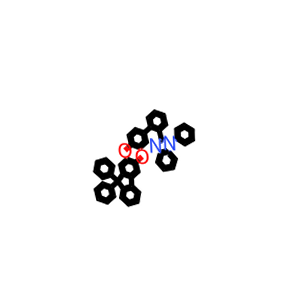 c1ccc(-n2c(-c3ccccc3-c3ccc4c(c3)Oc3cc5c(cc3O4)C(c3ccccc3)(c3ccccc3)c3ccccc3-5)nc3ccccc32)cc1